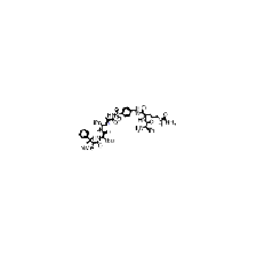 CNC(C(=O)NC(C(=O)N(C)C(/C=C(\C)C(=O)NS(=O)(=O)c1ccc(CNC(=O)C(CCCNC(N)=O)NC(=O)C(N)C(C)C)cc1)C(C)C)C(C)(C)C)C(C)(C)c1ccccc1